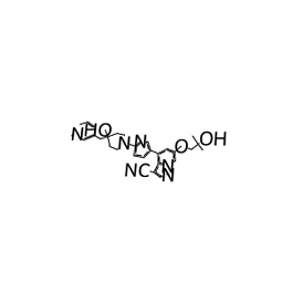 C=N/C=C(\C=C/C)CC1(O)CCN(c2ccc(-c3cc(OCC(C)(C)O)cn4ncc(C#N)c34)cn2)CC1